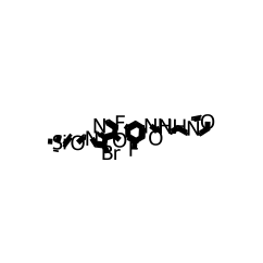 C[Si](C)(C)CCOCn1cc(Br)c2c(Oc3c(F)cc(NC(=O)NCCCN4CCOCC4)cc3F)ccnc21